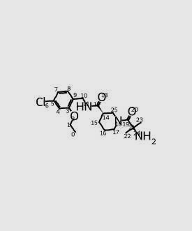 CCOc1cc(Cl)ccc1CNC(=O)[C@@H]1CCCN(C(=O)C(C)(C)N)C1